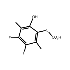 Cc1c(O)c(OC(=O)O)c(C)c(F)c1F